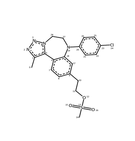 Cc1nnn2c1-c1ccc(CCOS(C)(=O)=O)cc1N(c1ccc(Cl)cc1)CC2